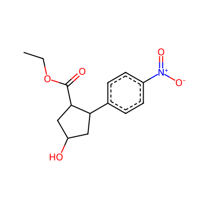 CCOC(=O)C1CC(O)CC1c1ccc([N+](=O)[O-])cc1